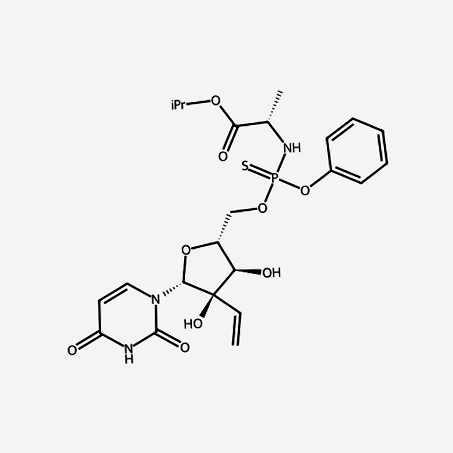 C=C[C@@]1(O)[C@H](O)[C@@H](COP(=S)(N[C@@H](C)C(=O)OC(C)C)Oc2ccccc2)O[C@H]1n1ccc(=O)[nH]c1=O